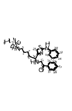 NS(=O)(=O)NCCCCC(NCC(=O)c1ccccc1)c1csc(Nc2ccccc2)n1